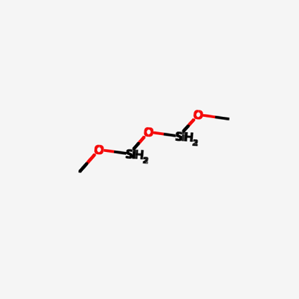 CO[SiH2]O[SiH2]OC